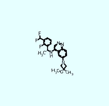 COC1(C)CN(c2ccc3nncc(N[C@H](C)c4cccc(C(F)F)c4F)c3c2)C1